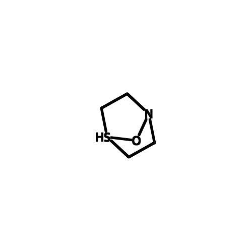 C1C[SH]2CCN1O2